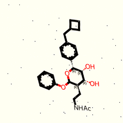 CC(=O)NCC[C@H]1C(Oc2ccccc2)O[C@H](c2ccc(CC3CCC3)cc2)[C@H](O)[C@@H]1O